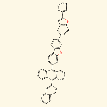 c1ccc(-c2cc3cc(-c4ccc5c(c4)oc4cc(-c6c7ccccc7c(-c7ccc8ccccc8c7)c7ccccc67)ccc45)ccc3o2)cc1